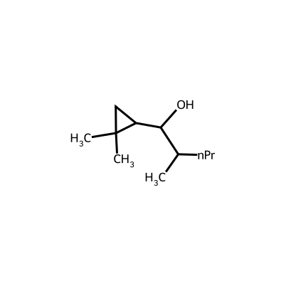 CCCC(C)C(O)C1CC1(C)C